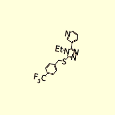 CCn1c(SCc2ccc(C(F)(F)F)cc2)nnc1-c1cccnc1